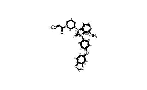 C=CC(=O)N1CCC[C@@H](n2c(=O)n(-c3ccc(Oc4ccc5c(c4)OCO5)cc3)c3c(N)nccc32)C1